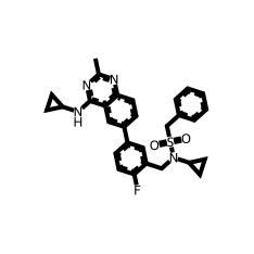 Cc1nc(NC2CC2)c2cc(-c3ccc(F)c(CN(C4CC4)S(=O)(=O)Cc4ccccc4)c3)ccc2n1